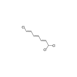 ClC=CC=CC=CC(Cl)Cl